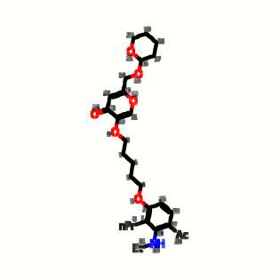 CCCc1c(OCCCCCOc2coc(COC3CCCCO3)cc2=O)ccc(C(C)=O)c1NCC